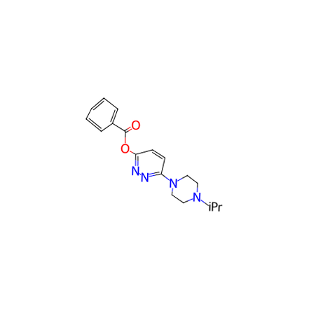 CC(C)N1CCN(c2ccc(OC(=O)c3ccccc3)nn2)CC1